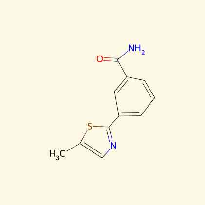 Cc1cnc(-c2cccc(C(N)=O)c2)s1